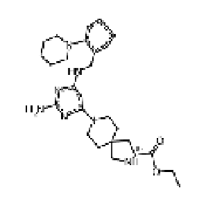 CCOC(=O)[C@@H]1CC2(CCN(c3cc(NCc4ccccc4N4CCCCC4)nc(N)n3)CC2)CN1